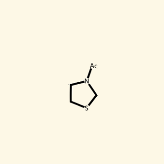 CC(=O)N1[CH]CSC1